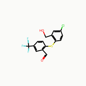 O=Cc1cc(C(F)(F)F)ccc1Sc1ccc(Cl)cc1CO